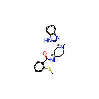 CSc1ccccc1C(=O)N[C@@H]1CCN(C)[C@@H](c2nc3ccccc3[nH]2)C1